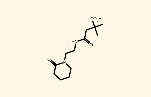 CC(C)(CC(=O)NCCN1CCCCC1=O)C(=O)O